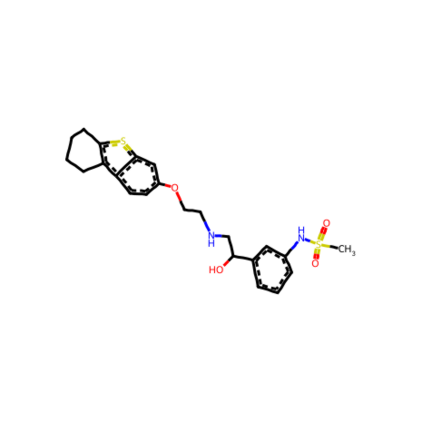 CS(=O)(=O)Nc1cccc(C(O)CNCCOc2ccc3c4c(sc3c2)CCCC4)c1